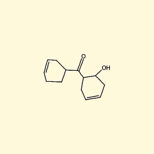 O=C(C1CC=CCC1)C1CC=CCC1O